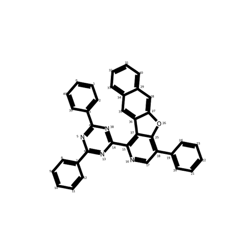 c1ccc(-c2nc(-c3ccccc3)nc(-c3ncc(-c4ccccc4)c4oc5cc6ccccc6cc5c34)n2)cc1